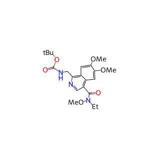 CCN(OC)C(=O)c1cnc(CNC(=O)OC(C)(C)C)c2cc(OC)c(OC)cc12